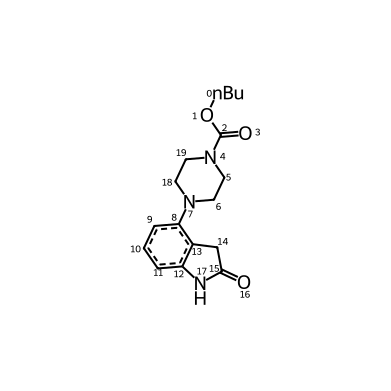 CCCCOC(=O)N1CCN(c2cccc3c2CC(=O)N3)CC1